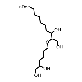 CCCCCCCCCCCCCCCCC(O)C(CO)OCCCCC(O)CO